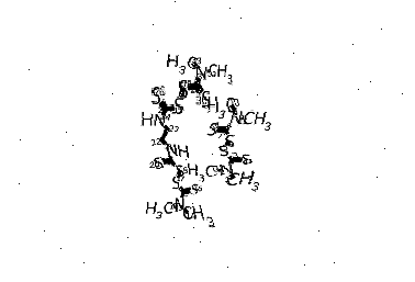 CN(C)C(=S)SSC(=S)N(C)C.CN(C)C(=S)SSC(=S)NCCNC(=S)SSC(=S)N(C)C